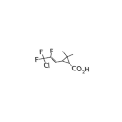 CC1(C)C(/C=C(\F)C(F)(F)Cl)C1C(=O)O